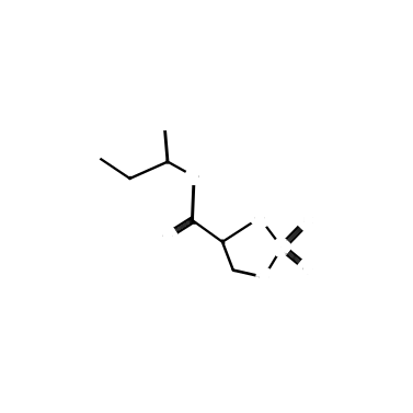 CCC(C)OC(=O)C1COS(=O)(=O)O1